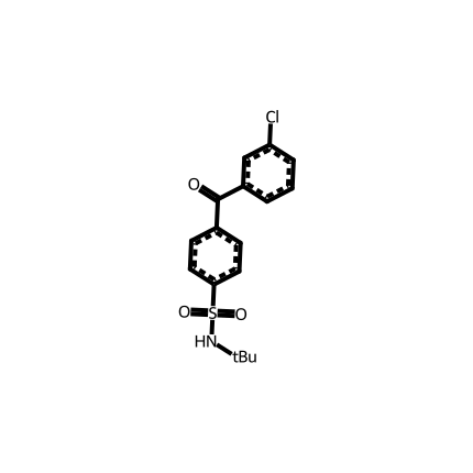 CC(C)(C)NS(=O)(=O)c1ccc(C(=O)c2cccc(Cl)c2)cc1